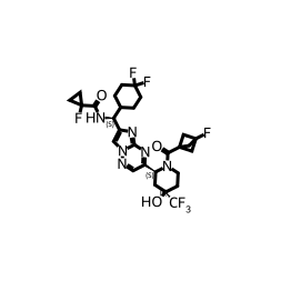 O=C(N[C@H](c1cn2ncc([C@@H]3C[C@@](O)(C(F)(F)F)CCN3C(=O)C34CC(F)(C3)C4)nc2n1)C1CCC(F)(F)CC1)C1(F)CC1